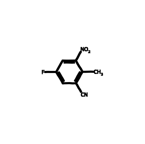 Cc1c(C#N)cc(F)cc1[N+](=O)[O-]